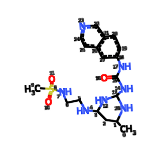 CC1CC(NCCNS(C)(=O)=O)NC(NC(=O)Nc2ccc3cnccc3c2)N1